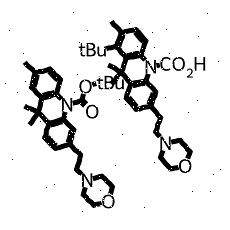 Cc1ccc2c(c1)C(C)(C)c1ccc(CCN3CCOCC3)cc1N2C(=O)OC(C)(C)C.Cc1ccc2c(c1C(C)(C)C)C(C)(C)c1ccc(CCN3CCOCC3)cc1N2C(=O)O